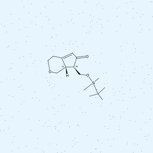 CC(C)(C)[Si](C)(C)OC[C@@H]1C(=O)C=C2CCOC[C@H]21